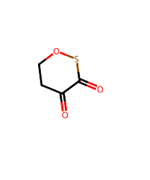 O=C1CCOSC1=O